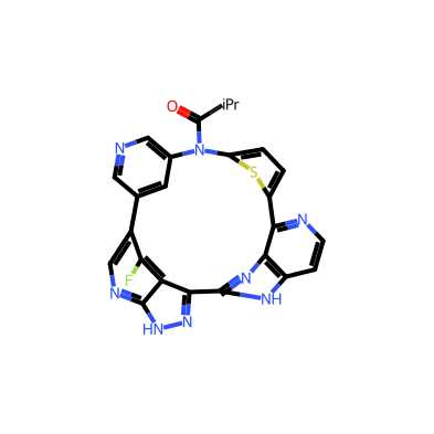 CC(C)C(=O)n1c2cncc(c2)c2cnc3[nH]nc(c4nc5c(ccnc5c5ccc1s5)[nH]4)c3c2F